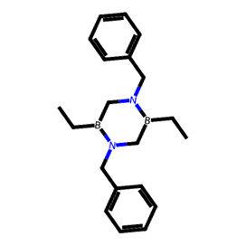 CCB1CN(Cc2ccccc2)B(CC)CN1Cc1ccccc1